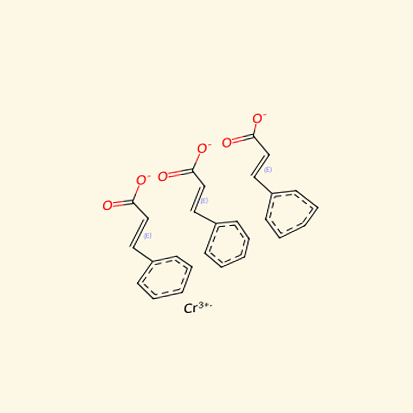 O=C([O-])/C=C/c1ccccc1.O=C([O-])/C=C/c1ccccc1.O=C([O-])/C=C/c1ccccc1.[Cr+3]